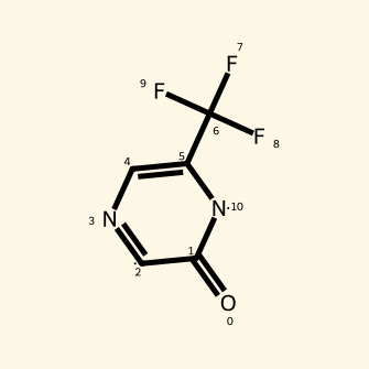 O=C1[C]=NC=C(C(F)(F)F)[N]1